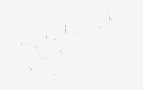 COc1nc(NCCCN(C)C)nc(OC)c1N